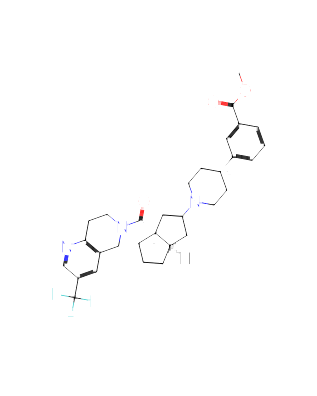 COC(=O)c1cccc([C@@H]2CCN(C3C[C@H]4CCC[C@@]4(C(=O)N4CCc5ncc(C(F)(F)F)cc5C4)C3)C[C@H]2C)c1